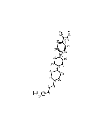 CCCCC1CCC(C2CCC(c3ccc(C(=O)CF)cc3)CC2)CC1